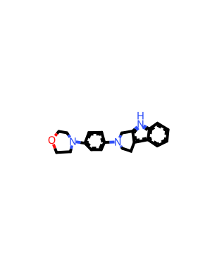 c1ccc2c3c([nH]c2c1)CN(c1ccc(N2CCOCC2)cc1)CC3